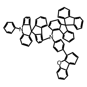 c1ccc(N2c3ccccc3C3(c4ccccc4-c4c(N(c5ccc(-c6cccc7c6oc6ccccc67)cc5)c5cccc6c5-c5ccccc5C65c6ccccc6-c6ccccc65)cccc43)c3ccccc32)cc1